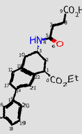 CCOC(=O)[C@@H]1C[C@@H](NC(=O)CCC(=O)O)Cc2ccc(-c3ccccc3)cc21